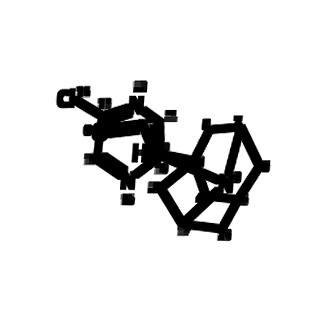 O=CNC12CC3CC(C1)N(c1cnc(Cl)cn1)C(C3)C2